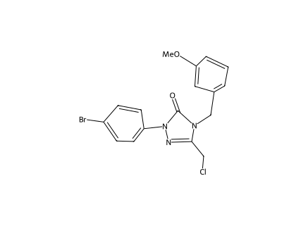 COc1cccc(Cn2c(CCl)nn(-c3ccc(Br)cc3)c2=O)c1